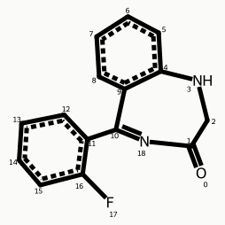 O=C1CNc2ccccc2C(c2ccccc2F)=N1